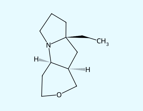 CC[C@]12CCCN1[C@@H]1CCOC[C@@H]1C2